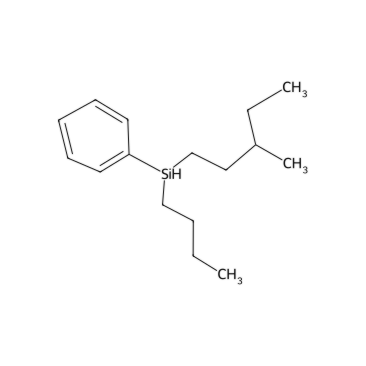 CCCC[SiH](CCC(C)CC)c1ccccc1